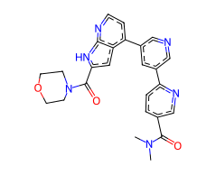 CN(C)C(=O)c1ccc(-c2cncc(-c3ccnc4[nH]c(C(=O)N5CCOCC5)cc34)c2)nc1